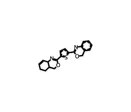 C1=CC2N=C(c3ccc(C4=Nc5ccccc5CO4)s3)OCC2CC1